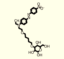 CCN(CCOCCCCCOC1C(O)[C@H](O)OC(CO)[C@H]1O)c1ccc(/N=N/c2ccc([N+](=O)[O-])cc2)cc1